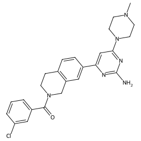 CN1CCN(c2cc(-c3ccc4c(c3)CN(C(=O)c3cccc(Cl)c3)CC4)nc(N)n2)CC1